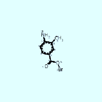 Cc1cc(C(=O)OBr)ccc1N